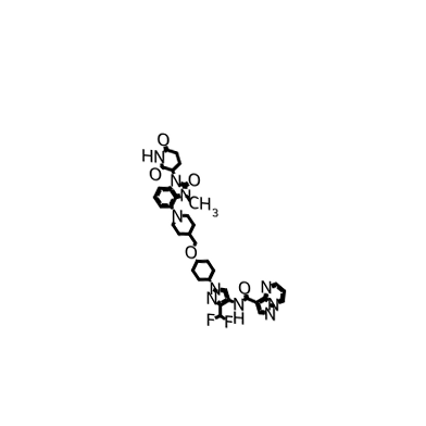 Cn1c(=O)n(C2CCC(=O)NC2=O)c2cccc(N3CCC(CO[C@H]4CC[C@H](n5cc(NC(=O)c6cnn7cccnc67)c(C(F)F)n5)CC4)CC3)c21